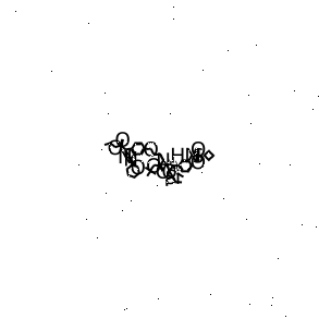 CCOC(=O)c1nn(C2CCCCO2)c2cc(OCCN(C[C@@H](O[Si](CC)(CC)CC)c3cccc(NS(=O)(=O)C4CCC4)c3)C(=O)OC(C)(C)C)ccc12